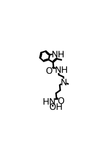 Cc1[nH]c2ccccc2c1C(=O)NCCN(C)CCCC(=O)NO